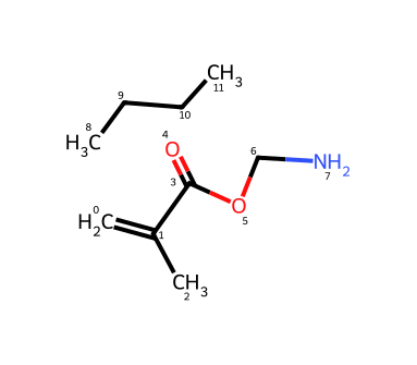 C=C(C)C(=O)OCN.CCCC